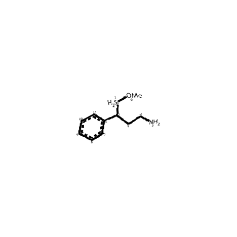 CO[SiH2]C(CCN)c1ccccc1